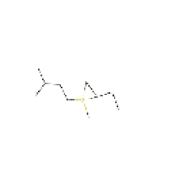 CCC1CS1(C)CCC(C)C